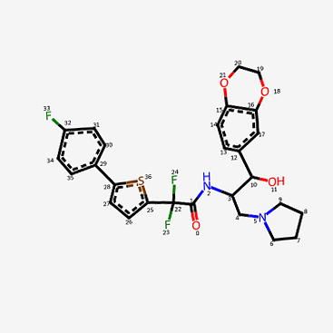 O=C(NC(CN1CCCC1)C(O)c1ccc2c(c1)OCCO2)C(F)(F)c1ccc(-c2ccc(F)cc2)s1